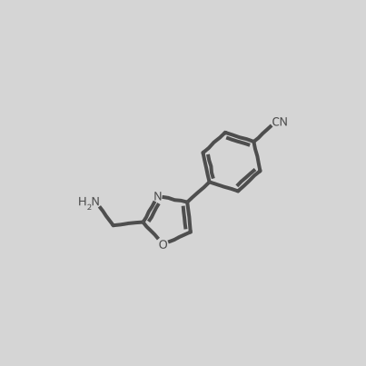 N#Cc1ccc(-c2coc(CN)n2)cc1